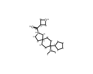 CN(C)C1(C2CCCC2)CCC2(CCN(C(=O)C3COC3)C2)CC1